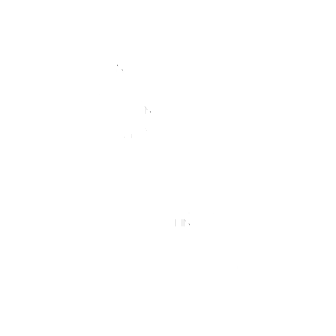 COC(=CC=Cc1cc2cc(Cl)c(Cl)cc2[nH]1)C(=O)Nc1cnc2ccccc2c1